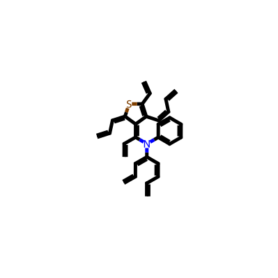 C=C/C=C\C(=C/C=C)N(/C(C=C)=c1\c(/C=C\C=C)c(C=C)s\c1=C\C=C)c1ccccc1